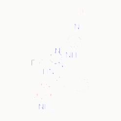 NC(=O)OC(=O)c1cc(-c2ccccc2)sc1Nc1nc(Nc2ccc(N3CCOCC3)cc2)ncc1C(F)(F)F